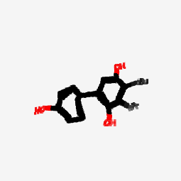 CCCc1c(O)c(-c2ccc(O)cc2)cc(O)c1C(C)(C)C